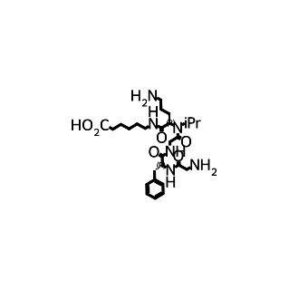 CC(C)N(C(=O)CNC(=O)[C@@H](Cc1ccccc1)NC(=O)CN)[C@H](CCCN)C(=O)NCCCCCC(=O)O